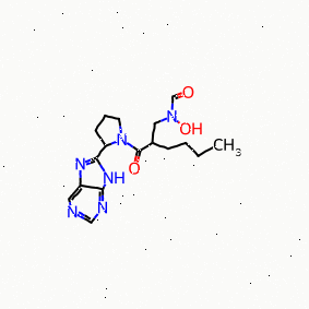 CCCCC(CN(O)C=O)C(=O)N1CCCC1c1nc2cncnc2[nH]1